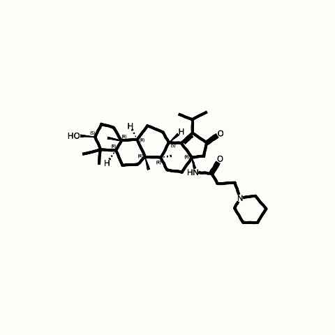 CC(C)C1=C2[C@H]3CC[C@@H]4[C@@]5(C)CC[C@H](O)C(C)(C)[C@@H]5CC[C@@]4(C)[C@]3(C)CC[C@@]2(NC(=O)CCN2CCCCC2)CC1=O